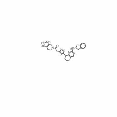 O=C(Cc1nnc([C@@H]2CCCc3cnc(NC4Cc5ccccc5C4)nc32)o1)N1CCC2=C(C1)NNN2